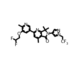 Cc1cc(-c2cnc(C)c(OCC(F)F)c2)nc2c1C(=O)N(c1cnn(CC(F)(F)F)c1)C2(C)C